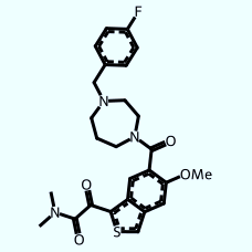 COc1cc2csc(C(=O)C(=O)N(C)C)c2cc1C(=O)N1CCCN(Cc2ccc(F)cc2)CC1